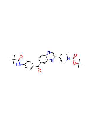 CC(C)(C)OC(=O)N1CC=C(c2cnc3ccc(C(=O)c4ccc(NC(=O)C(C)(C)C)cc4)cc3n2)CC1